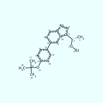 CCO[C@@H](C)c1nnc2cnc(-c3ccc(OC(C)(C)C(F)(F)F)nc3)cn12